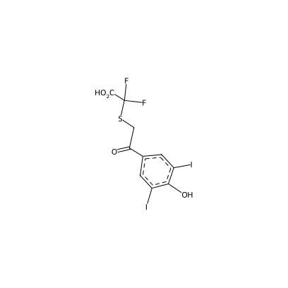 O=C(CSC(F)(F)C(=O)O)c1cc(I)c(O)c(I)c1